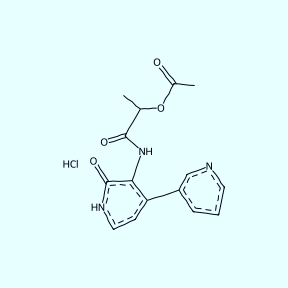 CC(=O)OC(C)C(=O)Nc1c(-c2cccnc2)cc[nH]c1=O.Cl